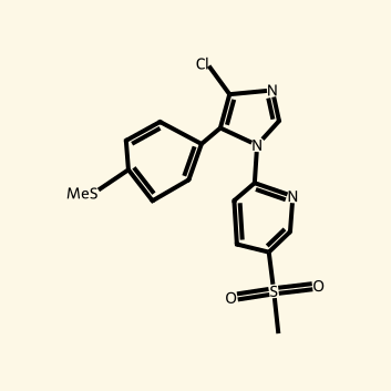 CSc1ccc(-c2c(Cl)ncn2-c2ccc(S(C)(=O)=O)cn2)cc1